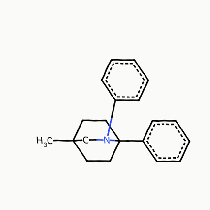 CC12CCC(c3ccccc3)(CC1)N(c1ccccc1)C2